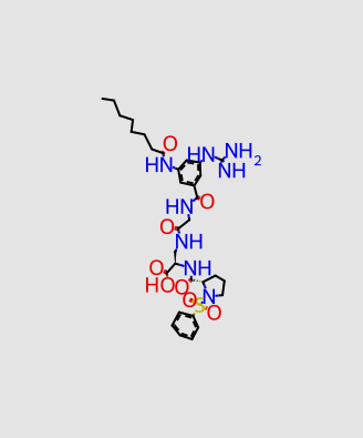 CCCCCCCC(=O)Nc1cc(NC(=N)N)cc(C(=O)NCC(=O)NC[C@@H](NC(=O)[C@@H]2CCCN2S(=O)(=O)c2ccccc2)C(=O)O)c1